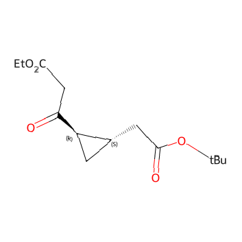 CCOC(=O)CC(=O)[C@@H]1C[C@H]1CC(=O)OC(C)(C)C